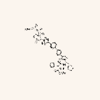 COC(=O)N[C@H](C(=O)N1[C@H](c2ncc(-c3ccc(-c4ccc(-c5cnc([C@@H]6C[C@@]7(CCCOC7)CN6C(=O)[C@H](NC(=O)OC)c6ccccc6)[nH]5)cc4)cc3)[nH]2)C[C@@H]2CCC[C@@H]21)C(C)C